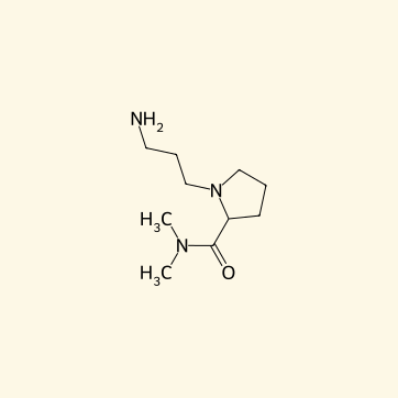 CN(C)C(=O)C1CCCN1CCCN